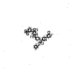 Cn1ccc(-c2ccc(N(C(=O)OCc3ccccc3)[C@H]3CC[C@H](Nc4ncc(C#N)c(-c5cncc(S(C)(=O)=O)c5)n4)CC3)cn2)cc1=O